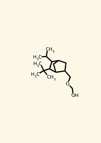 CC(C)C1C2CC(COCO)C(C2)C1C(C)(C)C